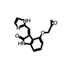 O=C1Nc2cccc(OCC3CO3)c2C1=Cc1ncc[nH]1